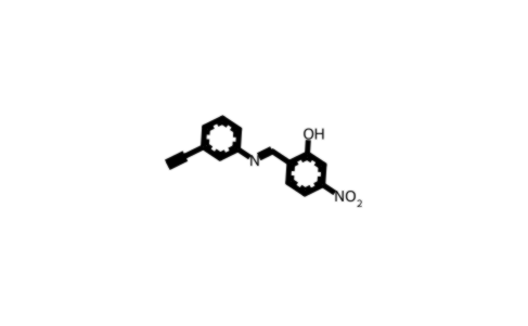 C#Cc1cccc(/N=C/c2ccc([N+](=O)[O-])cc2O)c1